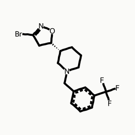 FC(F)(F)c1cccc(CN2CCC[C@@H](C3CC(Br)=NO3)C2)c1